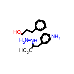 N.NNC(Cc1ccccc1)C(=O)O.OCCCc1ccccc1